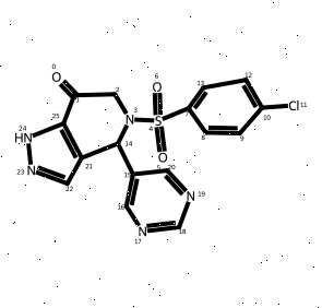 O=C1CN(S(=O)(=O)c2ccc(Cl)cc2)C(c2cncnc2)c2cn[nH]c21